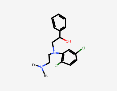 CCN(CC)CCN(CC(O)c1ccccc1)c1cc(Cl)ccc1Cl